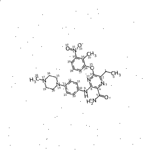 CCc1nc(C(N)=O)c(Nc2ccc(N3CCN(C)CC3)cc2)nc1Oc1cccc([N+](=O)[O-])c1C